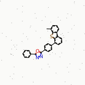 Cc1cccc2c1sc1c(-c3ccc(-c4nnc(-c5ccccc5)o4)cc3)cccc12